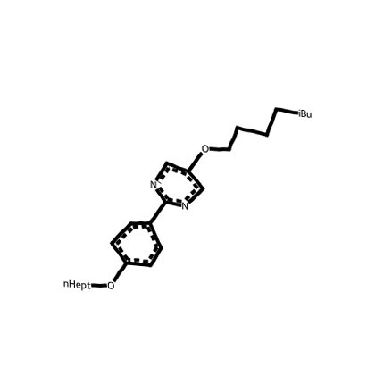 CCCCCCCOc1ccc(-c2ncc(OCCCCC(C)CC)cn2)cc1